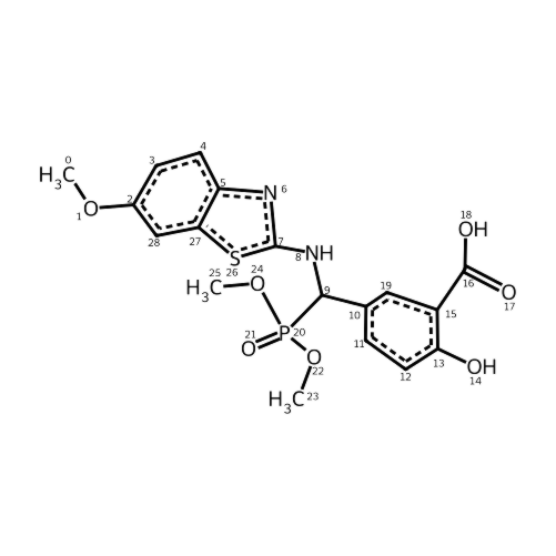 COc1ccc2nc(NC(c3ccc(O)c(C(=O)O)c3)P(=O)(OC)OC)sc2c1